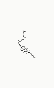 CCCCCCOc1c(C)c(C)c2c(c1C)CC[C@@](C)(C#CCC(C)CCCC(C)CCCC(C)C)O2